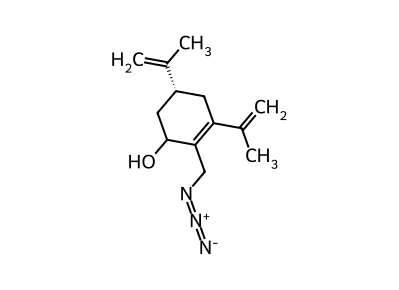 C=C(C)C1=C(CN=[N+]=[N-])C(O)C[C@H](C(=C)C)C1